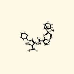 O=C(NC1=CN(C2CCCCC2)NC1C(F)F)c1cnn2ccc(N3CC4C[C@@H]3CO4)nc12